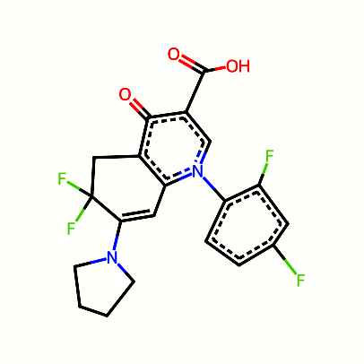 O=C(O)c1cn(-c2ccc(F)cc2F)c2c(c1=O)CC(F)(F)C(N1CCCC1)=C2